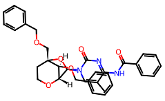 Cc1cn([C@@H]2O[C@@]3(COCc4ccccc4)CCO[C@@H]2[C@@H]3OCc2ccccc2)c(=O)nc1NC(=O)c1ccccc1